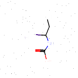 CCC(I)NC(=O)O.I